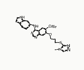 COc1cc2c(Nc3ccc4cc[nH]c4c3)ncnc2cc1OCCCSc1nncn1C